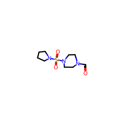 O=CN1CCN(S(=O)(=O)N2CCCC2)CC1